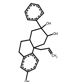 C=CCC12CC(O)C(O)(c3ccccc3)CC1CCc1cc(O)ccc12